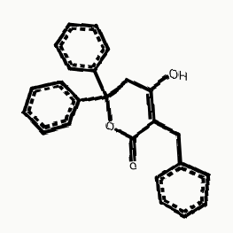 O=C1OC(c2ccccc2)(c2ccccc2)CC(O)=C1Cc1ccccc1